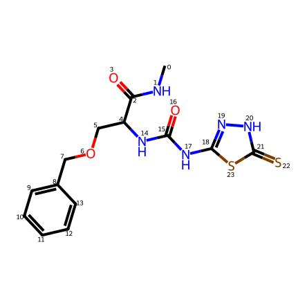 CNC(=O)C(COCc1ccccc1)NC(=O)Nc1n[nH]c(=S)s1